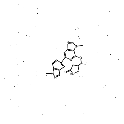 C[C@@H](Oc1nc(-c2ccc3c(cnn3C)c2)cc2ncn(C)c12)C1CNC(=O)C1